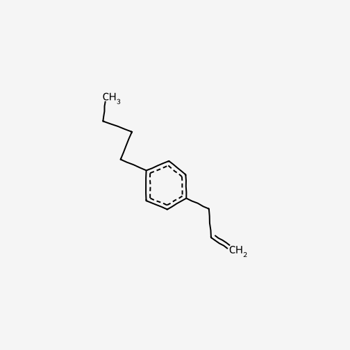 C=CCc1ccc(CCCC)cc1